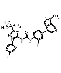 Cn1ncc2c(-c3ccc(NC(=O)Nc4cc(C(C)(C)C)nn4-c4ccc(Cl)cc4)c(F)c3)cncc21